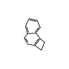 c1ccc2c3c(ncc2c1)CC3